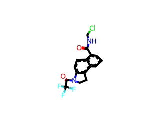 O=C(NCCl)c1cccc2c3c(ccc12)N(C(=O)C(F)(F)F)CC3